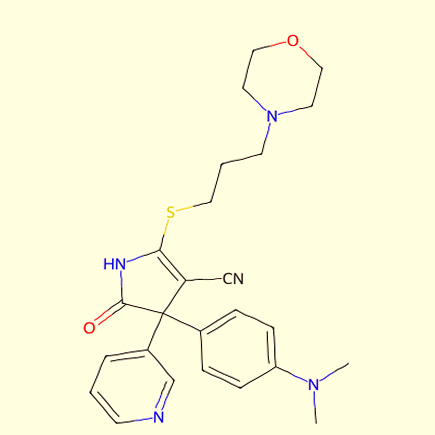 CN(C)c1ccc(C2(c3cccnc3)C(=O)NC(SCCCN3CCOCC3)=C2C#N)cc1